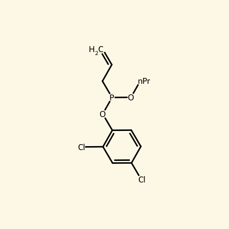 C=CCP(OCCC)Oc1ccc(Cl)cc1Cl